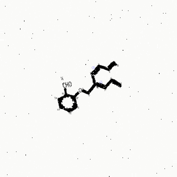 C=C/C=C\C(=C/C=C)COc1ccccc1C=O